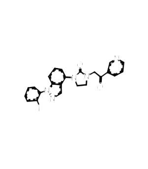 O=C(CN1CCN(c2cccc3c2cnn3-c2ccccc2F)C1=O)c1cccnc1